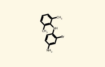 Cc1cccc(C)c1Nc1ccc(N)cc1Br